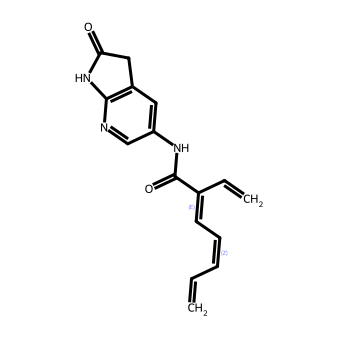 C=C/C=C\C=C(/C=C)C(=O)Nc1cnc2c(c1)CC(=O)N2